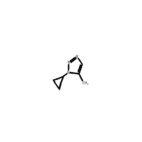 CC1=C[N+]=NN1C1CC1